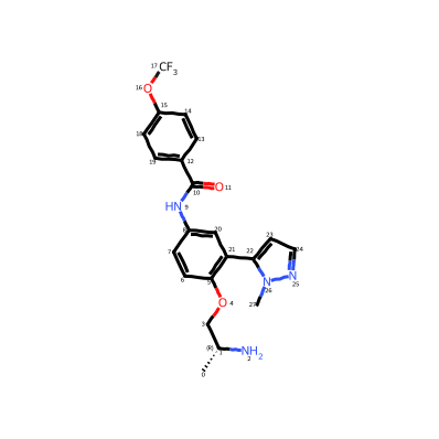 C[C@@H](N)COc1ccc(NC(=O)c2ccc(OC(F)(F)F)cc2)cc1-c1ccnn1C